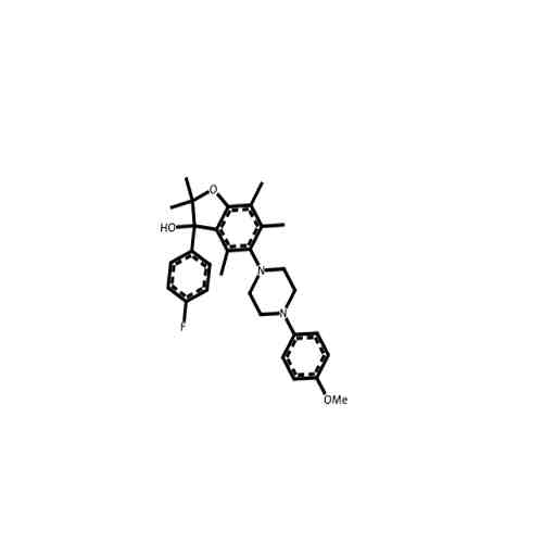 COc1ccc(N2CCN(c3c(C)c(C)c4c(c3C)C(O)(c3ccc(F)cc3)C(C)(C)O4)CC2)cc1